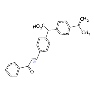 C=C(C)c1ccc(C(C(=O)O)c2ccc(/C=C/C(=O)c3ccccc3)cc2)cc1